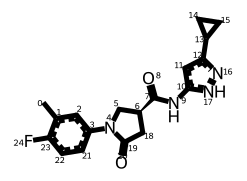 Cc1cc(N2C[C@@H](C(=O)Nc3cc(C4CC4)n[nH]3)CC2=O)ccc1F